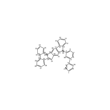 c1cncc(-c2cccc(-n3c4ccccc4c4cc5c(cc43)cc3c4ccccc4c4ccccc4n53)c2)c1